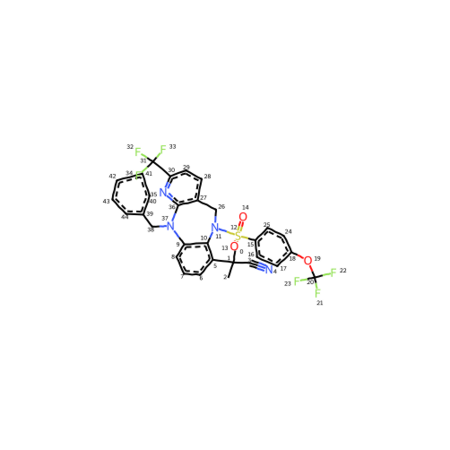 CC(C)(C#N)c1cccc2c1N(S(=O)(=O)c1ccc(OC(F)(F)F)cc1)Cc1ccc(C(F)(F)F)nc1N2Cc1ccccc1